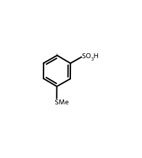 CSc1cc[c]c(S(=O)(=O)O)c1